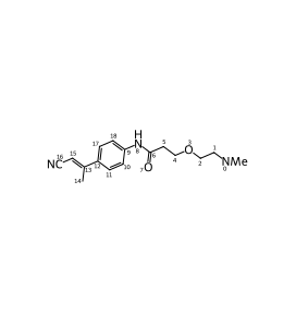 CNCCOCCC(=O)Nc1ccc(/C(C)=C/C#N)cc1